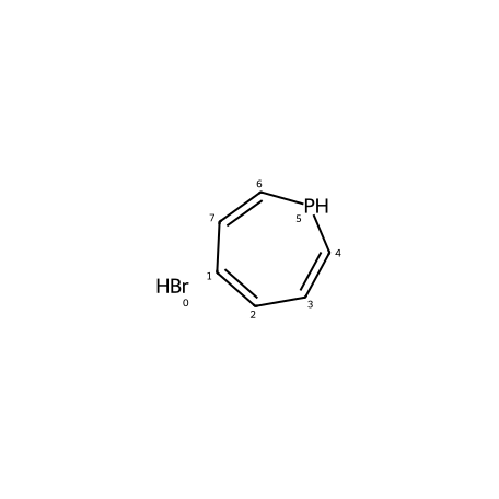 Br.C1=CC=CPC=C1